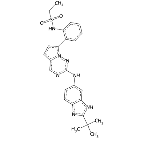 CCS(=O)(=O)Nc1ccccc1-c1ccc2cnc(Nc3ccc4nc(C(C)(C)C)[nH]c4c3)nn12